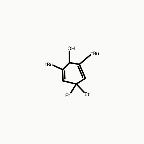 CCC1(CC)C=C(C(C)(C)C)C(O)C(C(C)(C)C)=C1